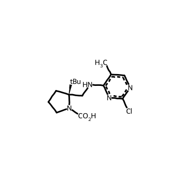 Cc1cnc(Cl)nc1NC[C@@]1(C(C)(C)C)CCCN1C(=O)O